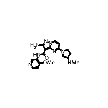 CNC1CCN(c2ccn3nc(N)c(C(=O)Nc4cnccc4OC)c3n2)C1